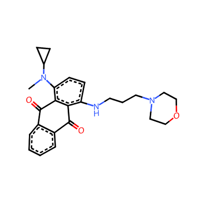 CN(c1ccc(NCCCN2CCOCC2)c2c1C(=O)c1ccccc1C2=O)C1CC1